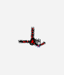 CCCCCCCC/C=C\CCCCCCCC(=O)C(OC(=O)CCCCCCCCCCCCCCC)(C(=O)CCCCCCCCCCCCCCC)C(O)CO